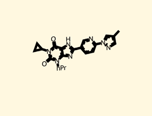 CCCn1c(=O)n(C2CC2)c(=O)c2[nH]c(-c3ccc(-n4cc(C)cn4)nc3)nc21